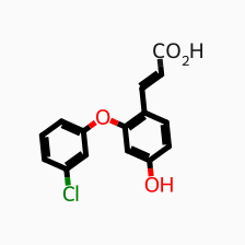 O=C(O)C=Cc1ccc(O)cc1Oc1cccc(Cl)c1